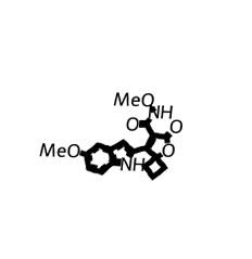 CONC(=O)C1=C(c2cc3cc(OC)ccc3[nH]2)C2(CCC2)OC1=O